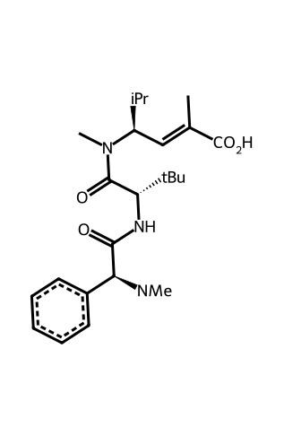 CN[C@H](C(=O)N[C@H](C(=O)N(C)[C@H](C=C(C)C(=O)O)C(C)C)C(C)(C)C)c1ccccc1